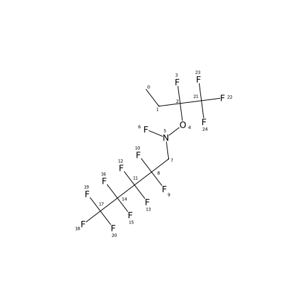 CCC(F)(ON(F)CC(F)(F)C(F)(F)C(F)(F)C(F)(F)F)C(F)(F)F